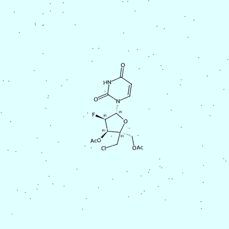 CC(=O)OC[C@@]1(CCl)O[C@@H](n2ccc(=O)[nH]c2=O)[C@H](F)[C@@H]1OC(C)=O